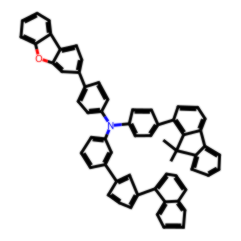 CC1(C)c2ccccc2-c2cccc(-c3ccc(N(c4ccc(-c5ccc6c(c5)oc5ccccc56)cc4)c4cccc(-c5cccc(-c6cccc7ccccc67)c5)c4)cc3)c21